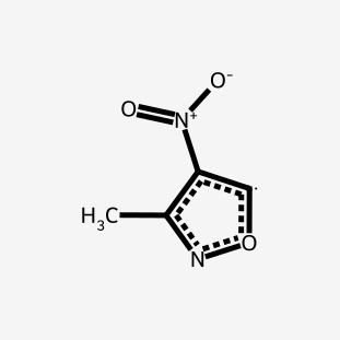 Cc1no[c]c1[N+](=O)[O-]